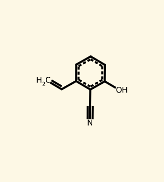 C=Cc1cccc(O)c1C#N